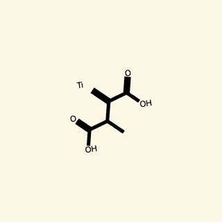 C=C(C(=O)O)C(C)C(=O)O.[Ti]